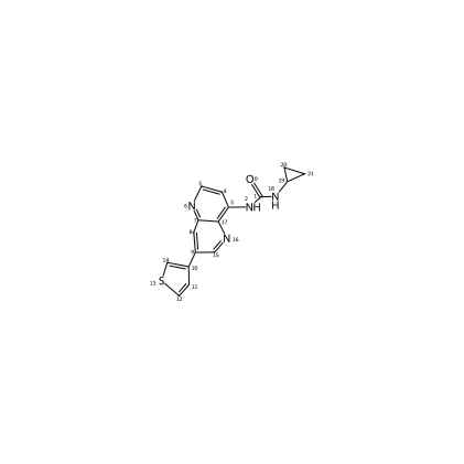 O=C(Nc1ccnc2cc(-c3ccsc3)cnc12)NC1CC1